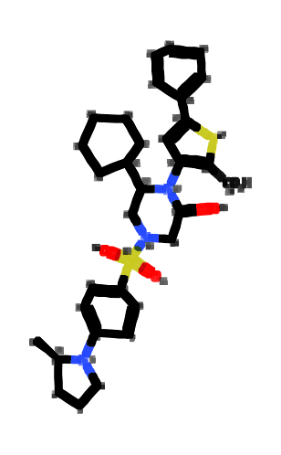 C[C@@H]1CCCN1c1ccc(S(=O)(=O)N2CC(=O)N(c3cc(-c4ccccc4)sc3C(=O)O)C(C3CCCCC3)C2)cc1